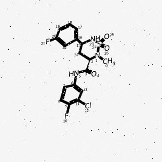 CN1[C@@H](C(=O)Nc2ccc(F)c(Cl)c2)CC(c2cccc(F)c2)NS1(=O)=O